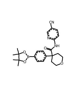 CC1(C)OB(c2ccc(C3(C(=O)Nc4ccc(C#N)cn4)CCOCC3)cc2)OC1(C)C